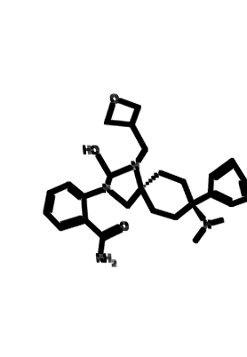 CN(C)[C@]1(c2ccccc2)CC[C@]2(CC1)CN(c1ccccc1C(N)=O)C(O)N2CC1COC1